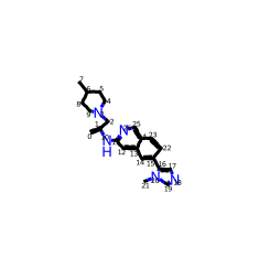 C=C(CN1CCC(C)CC1)Nc1cc2cc(-c3cncn3C)ccc2cn1